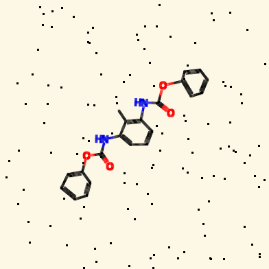 Cc1c(NC(=O)Oc2ccccc2)cccc1NC(=O)Oc1ccccc1